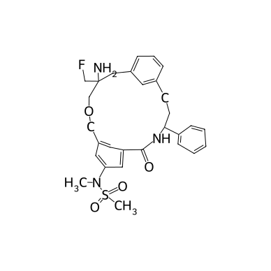 CN(c1cc2cc(c1)C(=O)NC(c1ccccc1)CCc1cccc(c1)CC(N)(CF)COC2)S(C)(=O)=O